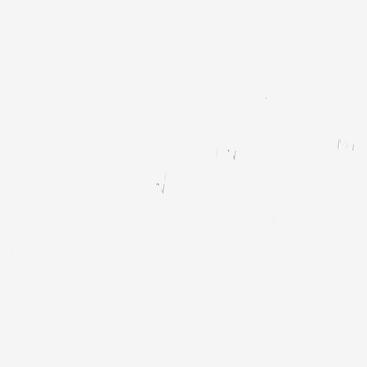 CC(NC(=O)OC(C)(C)C)C(=O)Nc1ccc(Br)cc1